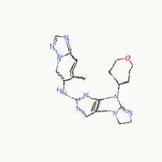 Cc1cc2ncnn2cc1Nc1ncc2c(n1)N(C1CCOCC1)C1=NCCN12